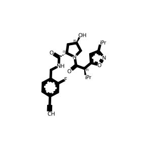 C#Cc1ccc(CNC(=O)[C@@H]2C[C@@H](O)CN2C(=O)[C@@H](c2cc(C(C)C)no2)C(C)C)c(F)c1